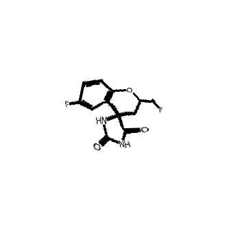 O=C1NC(=O)C2(CC(CF)Oc3ccc(F)cc32)N1